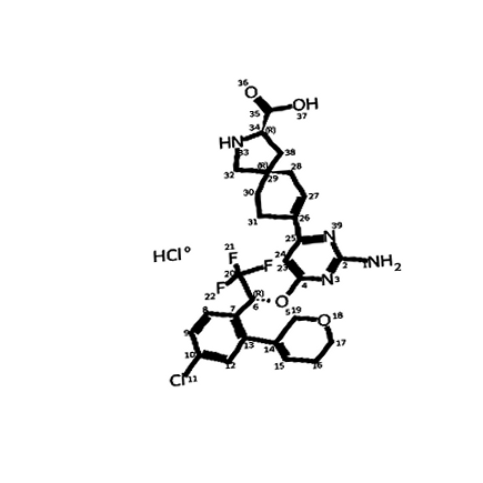 Cl.Nc1nc(O[C@H](c2ccc(Cl)cc2C2=CCCOC2)C(F)(F)F)cc(C2=CC[C@@]3(CC2)CN[C@@H](C(=O)O)C3)n1